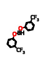 FC(F)(F)c1cccc(OBOc2cccc(C(F)(F)F)c2)c1